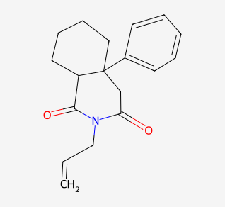 C=CCN1C(=O)CC2(c3ccccc3)CCCCC2C1=O